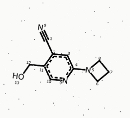 N#Cc1cc(N2CCC2)ncc1CO